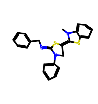 CN1C(=C2CN(c3ccccc3)C(=NCc3ccccc3)S2)Sc2ccccc21